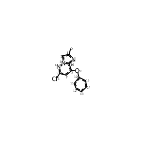 Cc1cn2nc(Cl)cc(Oc3ccccc3)c2n1